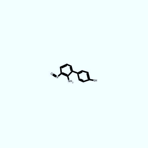 Nc1c(N=O)cccc1-c1ccc(S)cc1